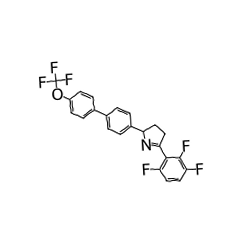 Fc1ccc(F)c(C2=NC(c3ccc(-c4ccc(OC(F)(F)F)cc4)cc3)CC2)c1F